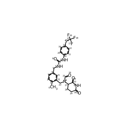 Cc1ccc(CNC(=O)Nc2ccc(SC(F)(F)F)cc2)cc1CN(C=O)C1CCC(=O)NC1=O